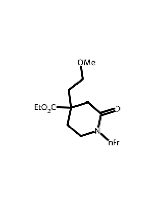 CCCN1CCC(CCOC)(C(=O)OCC)CC1=O